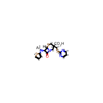 CC(=O)N(c1cccs1)C1C(=O)N2CC(CSc3ncccn3)(C(=O)O)CS[C@H]12